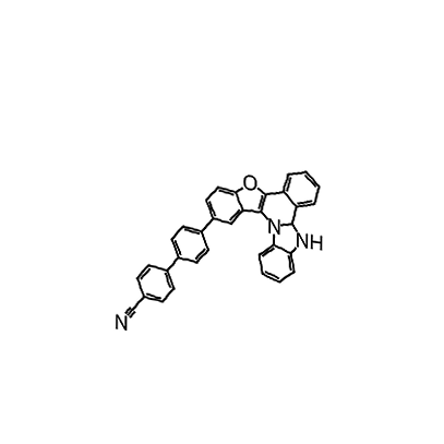 N#Cc1ccc(-c2ccc(-c3ccc4oc5c(c4c3)N3c4ccccc4NC3c3ccccc3-5)cc2)cc1